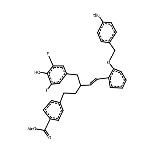 COC(=O)c1ccc(CCC(C=Cc2ccccc2OCc2ccc(C(C)(C)C)cc2)Cc2cc(F)c(O)c(F)c2)cc1